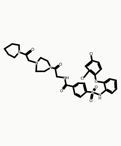 O=C(NCC(=O)N1CCN(CC(=O)N2CCCCC2)CC1)c1ccc(S(=O)(=O)Nc2ccccc2Oc2ccc(Cl)cc2Cl)cc1